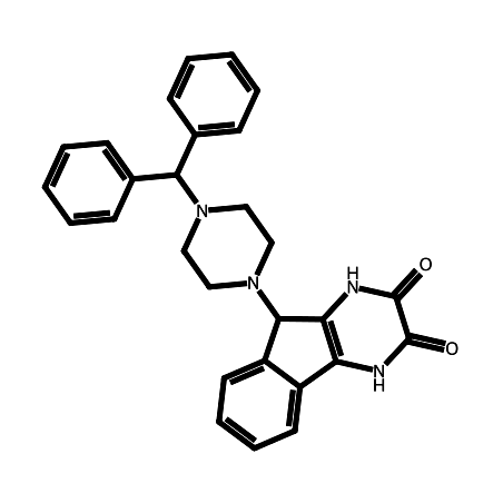 O=c1[nH]c2c([nH]c1=O)C(N1CCN(C(c3ccccc3)c3ccccc3)CC1)c1ccccc1-2